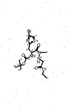 CCOC(=O)CNN(C)C(=O)[C@H](Cc1nc(Br)cs1)NC(=O)OC(C)(C)C